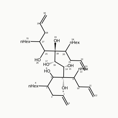 C=CCC(CCCCCC)C(O)[C@](O)(C(CC=C)CCCCCC)[C@@H](O)[C@H](O)[C@@](O)(C(CC=C)CCCCCC)C(O)C(CC=C)CCCCCC